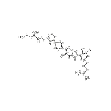 CCCC(=N)NCC[C@@H]1CCC[C@@H](c2ccc(-n3cc4cc(-c5cc(CCC[C@H](C)N)cc(Cl)c5F)[nH]c4nc3=O)cc2)N1